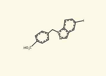 O=C(O)c1ccc(Cn2ncc3cc(I)ccc32)cc1